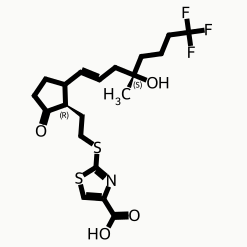 C[C@@](O)(CC=CC1CCC(=O)[C@@H]1CCSc1nc(C(=O)O)cs1)CCCC(F)(F)F